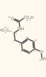 CCCOc1ccc(C[C@@H](NC(=O)C(=O)O)C(=O)O)cc1